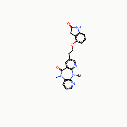 CCN1c2ncc(CCOc3cccc4c3CC(=O)N4)cc2C(=O)N(C)c2cccnc21